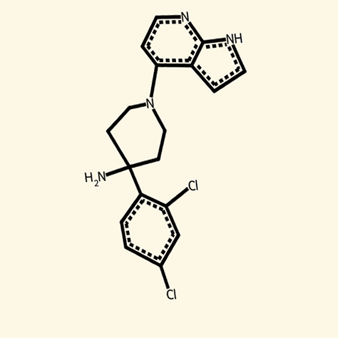 NC1(c2ccc(Cl)cc2Cl)CCN(c2ccnc3[nH]ccc23)CC1